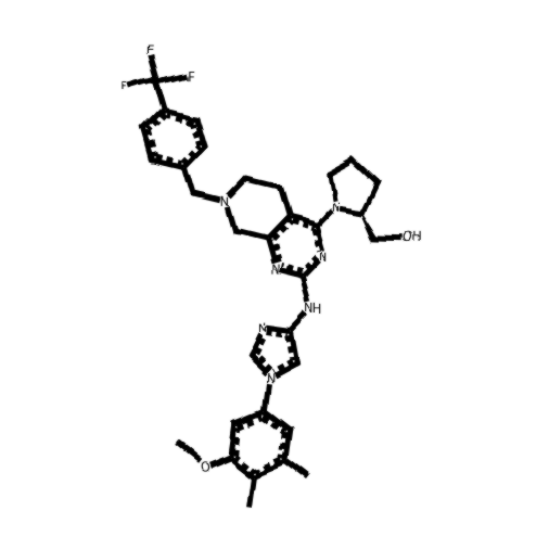 COc1cc(-n2cnc(Nc3nc4c(c(N5CCC[C@H]5CO)n3)CCN(Cc3ccc(C(F)(F)F)cc3)C4)c2)cc(C)c1C